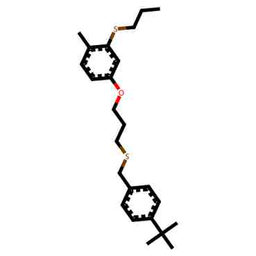 CCCSc1cc(OCCCSCc2ccc(C(C)(C)C)cc2)ccc1C